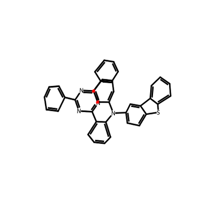 c1ccc(-c2nc(-c3ccccc3)nc(-c3ccccc3N(c3ccccc3)c3ccc4sc5ccccc5c4c3)n2)cc1